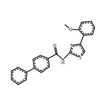 COc1ccccc1-c1csc(NC(=O)c2ccc(-c3ccccc3)cc2)n1